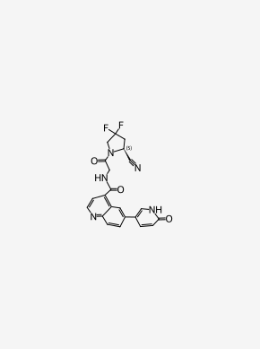 N#C[C@@H]1CC(F)(F)CN1C(=O)CNC(=O)c1ccnc2ccc(-c3ccc(=O)[nH]c3)cc12